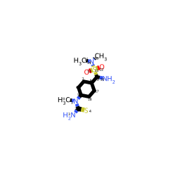 CN(C(N)=S)C1CCC(C(N)S(=O)(=O)N(C)C)CC1